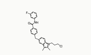 Cc1c(C)n(CCCCl)c2ccc(Cc3ccc(C(=O)Nc4cccc(F)c4)cc3)cc12